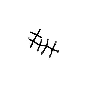 CC(C)(C)C(C)(F)C(F)(F)C(F)(F)C(F)(F)F